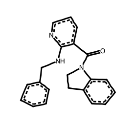 O=C(c1cccnc1NCc1ccccc1)N1CCc2ccccc21